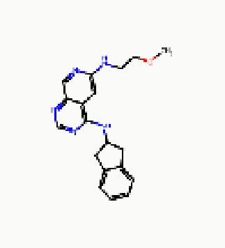 COCCNc1cc2c(NC3Cc4ccccc4C3)ncnc2cn1